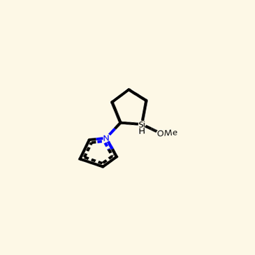 CO[SiH]1CCCC1n1cccc1